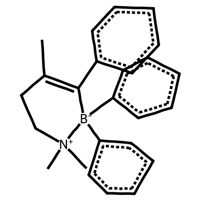 CC1=C(c2ccccc2)[B-](c2ccccc2)(c2ccccc2)[N+](C)(C)CC1